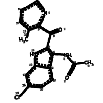 CC(=O)Nc1c(C(=O)c2ncccc2C)[nH]c2cc(Cl)ccc12